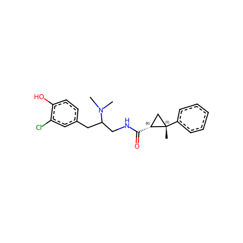 CN(C)C(CNC(=O)[C@@H]1C[C@]1(C)c1ccccc1)Cc1ccc(O)c(Cl)c1